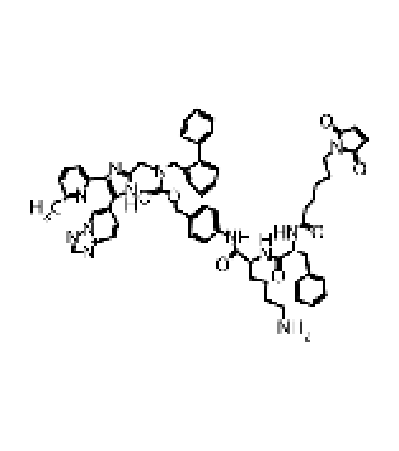 Cc1cccc(-c2nc(CN(Cc3ccccc3-c3ccccc3)C(=O)OCc3ccc(NC(=O)C(CCCCN)NC(=O)[C@H](Cc4ccccc4)NC(=O)CCCCCN4C(=O)C=CC4=O)cc3)[nH]c2-c2ccc3ncnn3c2)n1